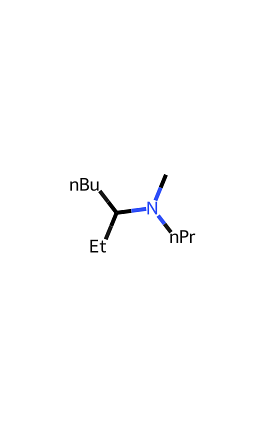 CCCCC(CC)N(C)CCC